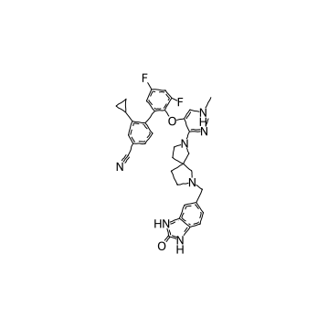 C/N=C(\C(=C/NC)Oc1c(F)cc(F)cc1-c1ccc(C#N)cc1C1CC1)N1CCC2(CCN(Cc3ccc4[nH]c(=O)[nH]c4c3)C2)C1